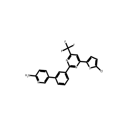 Nc1ccc(-c2cccc(-c3nc(-c4ccc(Cl)s4)cc(C(F)(F)F)n3)c2)cn1